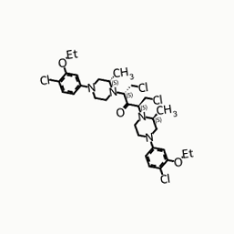 CCOc1cc(N2CCN([C@H](CCl)C(=O)[C@@H](CCl)N3CCN(c4ccc(Cl)c(OCC)c4)C[C@@H]3C)[C@@H](C)C2)ccc1Cl